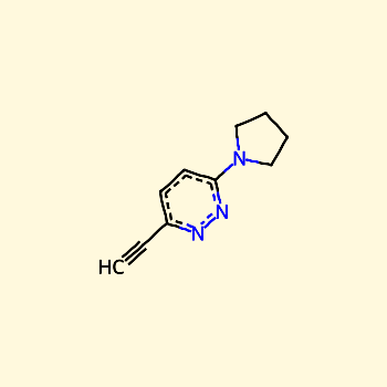 C#Cc1ccc(N2CCCC2)nn1